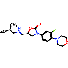 CC(=O)O[C@@H](C)CNC[C@H]1CN(c2ccc(N3CCOCC3)c(F)c2)C(=O)O1